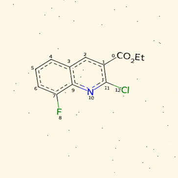 CCOC(=O)c1cc2cccc(F)c2nc1Cl